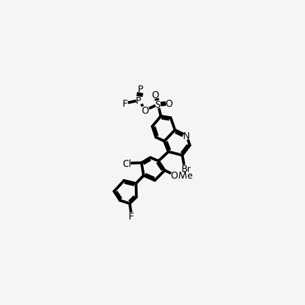 COc1cc(-c2cccc(F)c2)c(Cl)cc1-c1c(Br)cnc2cc(S(=O)(=O)OP(F)#P)ccc12